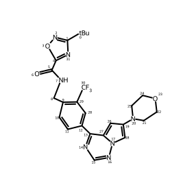 CC(C)(C)c1noc(C(=O)NCc2ccc(-c3ncnn4cc(N5CCOCC5)cc34)cc2C(F)(F)F)n1